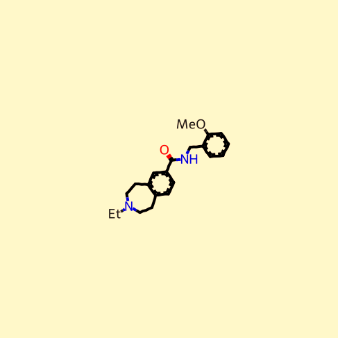 CCN1CCc2ccc(C(=O)NCc3ccccc3OC)cc2CC1